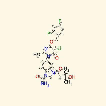 Cc1nc(OCc2ccc(F)cc2F)c(Cl)c(=O)n1-c1ccc2c(c1)N(C(=O)CC(C)(C)O)CN2C(N)=O